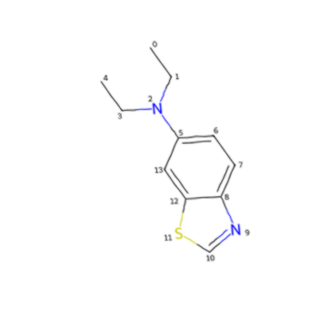 CCN(CC)c1ccc2ncsc2c1